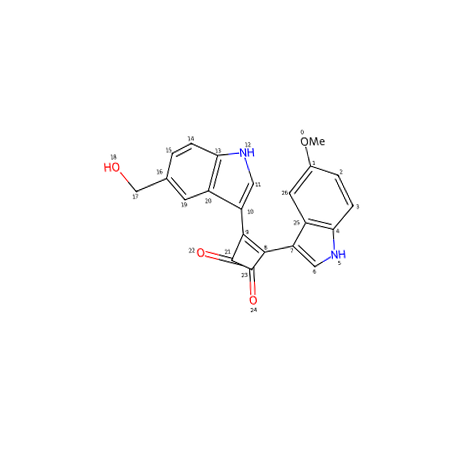 COc1ccc2[nH]cc(-c3c(-c4c[nH]c5ccc(CO)cc45)c(=O)c3=O)c2c1